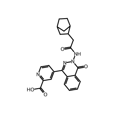 O=C(CC1CC2CCC1C2)Nn1nc(-c2ccnc(C(=O)O)c2)c2ccccc2c1=O